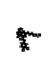 CCCc1nn(C)c2c(NCc3ccc(Cl)c(Cl)c3)nc(CCCC(=O)O)nc12